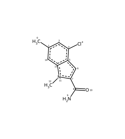 Cc1cc(Cl)c2cc(C(N)=O)n(C)c2c1